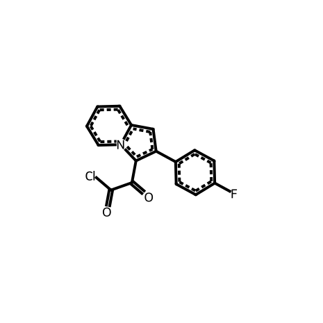 O=C(Cl)C(=O)c1c(-c2ccc(F)cc2)cc2ccccn12